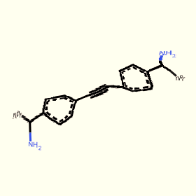 CCCC(N)c1ccc(C#Cc2ccc(C(N)CCC)cc2)cc1